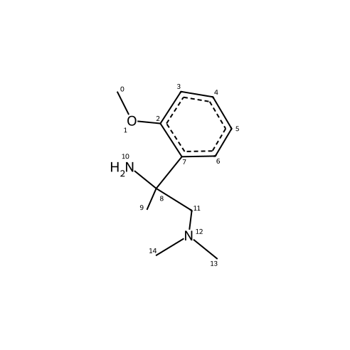 COc1ccccc1C(C)(N)CN(C)C